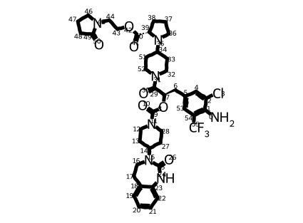 Nc1c(Cl)cc(C[C@@H](OC(=O)N2CCC(N3CCc4ccccc4NC3=O)CC2)C(=O)N2CCC(N3CCC[C@H]3C(=O)OCCN3CCCC3=O)CC2)cc1C(F)(F)F